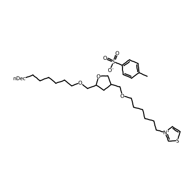 CCCCCCCCCCCCCCCCOCC1CC(COCCCCCC[n+]2ccsc2)CO1.Cc1ccc(S(=O)(=O)[O-])cc1